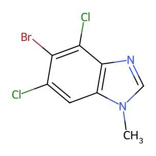 Cn1cnc2c(Cl)c(Br)c(Cl)cc21